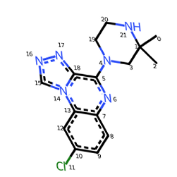 CC1(C)CN(c2nc3ccc(Cl)cc3n3cnnc23)CCN1